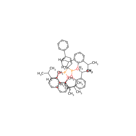 CC(C)c1cccc(C(C)C)c1OP(Oc1c(C(C)C)cccc1C(C)C)C1(P(Oc2c(C(C)C)cccc2C(C)C)Oc2c(C(C)C)cccc2C(C)C)C=CC(c2ccccc2)=CC1